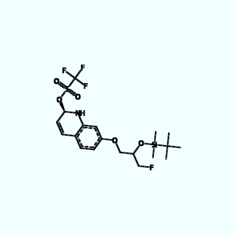 CC(C)(C)[Si](C)(C)OC(CF)COc1ccc2c(c1)N[C@H](OS(=O)(=O)C(F)(F)F)C=C2